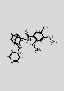 CNc1cc(OC)c(C(=O)NC2C3CCN(CC3)C2CN2CCOCC2)cc1Cl